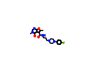 Cc1oc2ncn(C)c(=O)c2c1C(=O)NCCCN1CCN(c2ccc(F)cc2)CC1